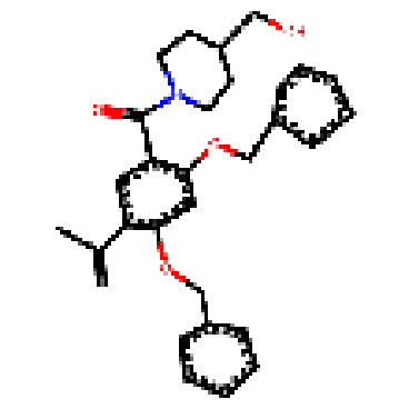 C=C(C)c1cc(C(=O)N2CCC(CO)CC2)c(OCc2ccccc2)cc1OCc1ccccc1